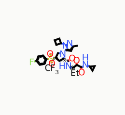 CC[C@H](NC(=O)[C@@H]1C[C@@H](S(=O)(=O)c2ccc(F)cc2C(F)(F)F)CN1c1cc(C)nn1C1CCC1)C(=O)C(=O)NC1CC1